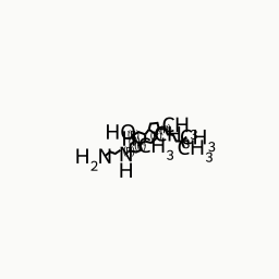 CC(C)CCC[C@@H](C)C1CCC2C3C[C@@H](O)[C@H]4C[C@H](NCCCN)CC[C@]4(C)C3CC[C@@]21C